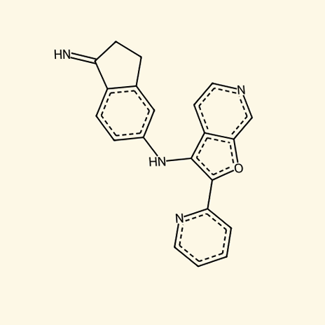 N=C1CCc2cc(Nc3c(-c4ccccn4)oc4cnccc34)ccc21